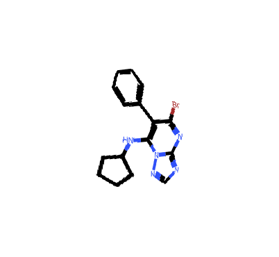 Brc1nc2ncnn2c(NC2CCCC2)c1-c1ccccc1